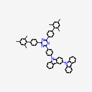 Cc1cc(C)c(-c2ccc(-c3nc(-c4ccc(-c5c(C)cc(C)cc5C)cc4)nc(-c4ccc(-n5c6ccccc6c6cc(-n7c8ccccc8c8ccccc87)ccc65)cc4)n3)cc2)c(C)c1